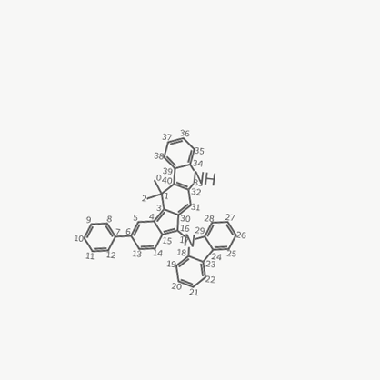 CC1(C)C2=c3cc(-c4ccccc4)ccc3=C(n3c4ccccc4c4ccccc43)C2=Cc2[nH]c3ccccc3c21